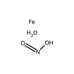 O.O=NO.[Fe]